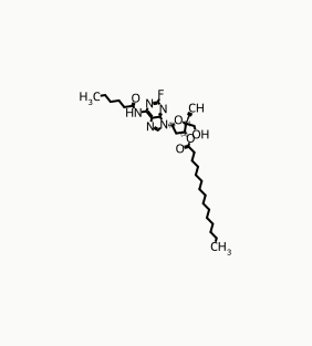 C#C[C@]1(CO)O[C@@H](n2cnc3c(NC(=O)CCCCC)nc(F)nc32)C[C@@H]1OC(=O)CCCCCCCCCCCCCC